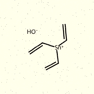 C=[CH][Sn+]([CH]=C)[CH]=C.[OH-]